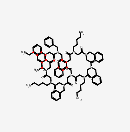 C[C@@H](c1ccccc1)N(CC(=O)N(CCCCN)CC(=O)N(CC(=O)N(CC(=O)N(CCCCN)CC(=O)N(CC(=O)N(CC(=O)N(CCCCN)CC(=O)N(CC(=O)N(CC(N)=O)Cc1ccccc1)Cc1ccccc1)Cc1ccccc1)Cc1ccccc1)Cc1ccccc1)Cc1ccccc1)C(=O)CN(Cc1ccccc1)C(=O)CNCCCCN